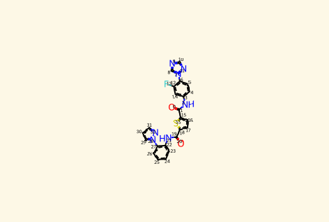 O=C(Nc1ccc(-n2cncn2)c(F)c1)c1ccc(C(=O)Nc2ccccc2-n2cccn2)s1